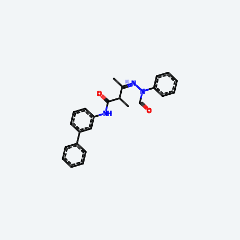 C/C(=N/N(C=O)c1ccccc1)C(C)C(=O)Nc1cccc(-c2ccccc2)c1